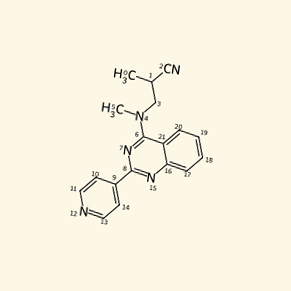 CC(C#N)CN(C)c1nc(-c2ccncc2)nc2ccccc12